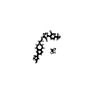 Cc1cc(-c2ccc3c(c2)CCN(CCSc2nnc(-c4ccc(C(F)(F)F)nc4C)n2C)CC3)no1.O=CO